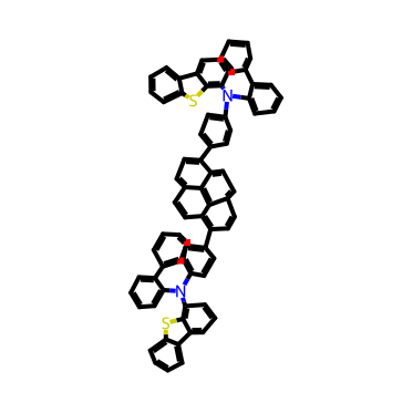 c1ccc(-c2ccccc2N(c2ccc(-c3ccc4ccc5c(-c6ccc(N(c7ccccc7-c7ccccc7)c7cccc8c7sc7ccccc78)cc6)ccc6ccc3c4c65)cc2)c2cccc3c2sc2ccccc23)cc1